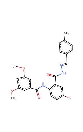 COc1cc(OC)cc(C(=O)Nc2ccc(Br)cc2C(=O)N/N=C/c2ccc(C)cc2)c1